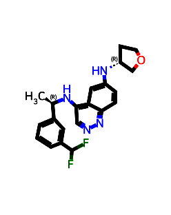 C[C@@H](Nc1cnnc2ccc(N[C@@H]3CCOC3)cc12)c1cccc(C(F)F)c1